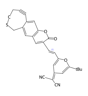 CC(C)(C)C1=CC(=C(C#N)C#N)C=C(/C=C/c2cc3cc4c(cc3oc2=O)C#CCCSC4)O1